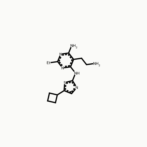 CCc1nc(N)c(CCN)c(Nc2ncc(C3CCC3)s2)n1